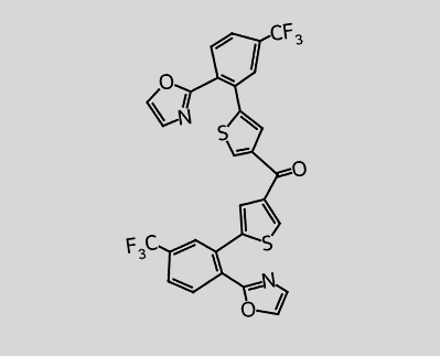 O=C(c1csc(-c2cc(C(F)(F)F)ccc2-c2ncco2)c1)c1csc(-c2cc(C(F)(F)F)ccc2-c2ncco2)c1